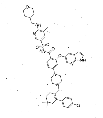 Cc1cc(S(=O)(=O)NC(=O)c2ccc(N3CCN(CC4=C(c5ccc(Cl)cc5)CC(C)(C)CC4)CC3)cc2Oc2cnc3[nH]ccc3c2)cnc1NCC1CCOCC1